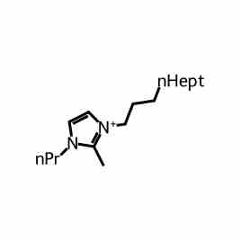 CCCCCCCCCC[n+]1ccn(CCC)c1C